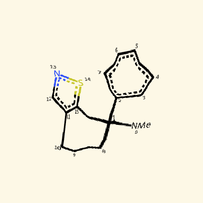 CNC1(c2ccccc2)CCCc2cnsc21